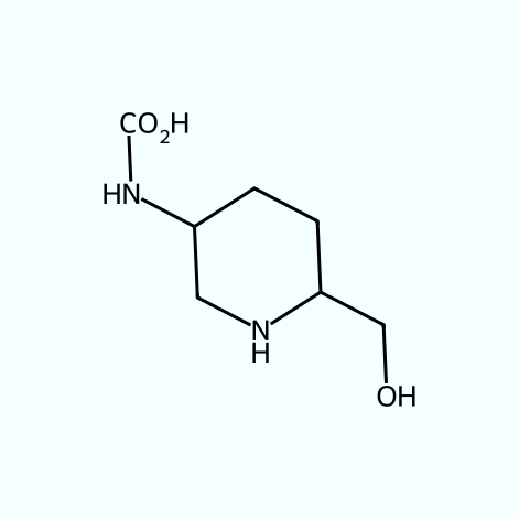 O=C(O)NC1CCC(CO)NC1